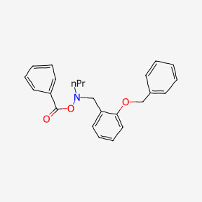 CCCN(Cc1ccccc1OCc1ccccc1)OC(=O)c1ccccc1